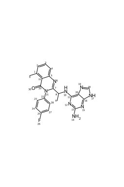 Cc1cccc2nc(C(C)Nc3nc(N)nc4[nH]cnc34)n(-c3ccc(F)cc3)c(=O)c12